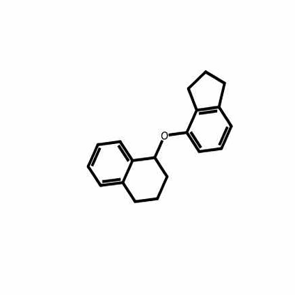 c1ccc2c(c1)CCCC2Oc1cccc2c1CCC2